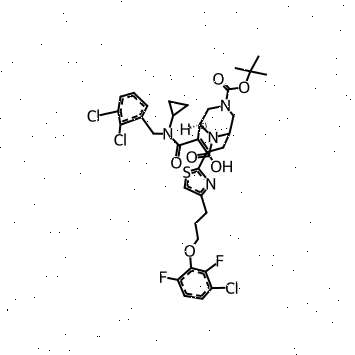 CC(C)(C)OC(=O)N1CC2CC(c3nc(CCCOc4c(F)ccc(Cl)c4F)cs3)=C(C(=O)N(Cc3cccc(Cl)c3Cl)C3CC3)[C@@H](C1)N2C(=O)O